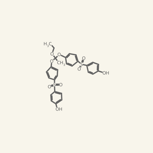 CCOC(C)(Oc1ccc(S(=O)(=O)c2ccc(O)cc2)cc1)Oc1ccc(S(=O)(=O)c2ccc(O)cc2)cc1